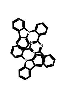 c1ccc(-c2nc(-c3ccccc3-n3c4ccccc4c4ccccc43)nc(-c3ccccc3-n3c4ccccc4c4ccccc43)n2)cc1